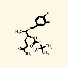 C[C@@H](OCc1ccc(Br)c(F)c1)[C@H](CCC(N)=O)NC(=O)OC(C)(C)C